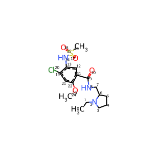 CCN1CCCC1CNC(=O)c1cc(NS(C)(=O)=O)c(Cl)cc1OC